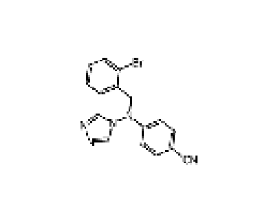 N#Cc1ccc(N(Cc2ccccc2Br)n2cnnc2)cc1